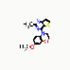 COc1ccc2c(c1)OCCN2c1nc(C)nc2ccsc12